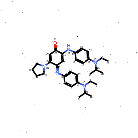 CCN(c1ccc(/N=C2\C=C(Nc3ccc(N(CC)C(C)C)cc3)C(=O)C=C2N2CCCC2)cc1)C(C)C